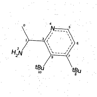 CC(N)c1nccc(C(C)(C)C)c1C(C)(C)C